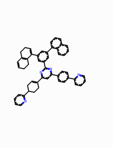 C1=CC2=C(CC1)C(c1cc(-c3nc(C4=CCC(c5ccccn5)CC4)cc(-c4ccc(-c5ccccn5)cc4)n3)cc(-c3cccc4ccccc34)c1)=CCC2